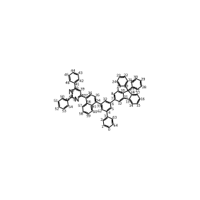 c1ccc(-c2cc(-c3ccc4c(c3)-c3ccccc3C4(c3ccccc3)c3ccccc3)cc(-c3ccc(-c4cc(-c5ccccc5)nc(-c5ccccc5)n4)c4ccccc34)c2)cc1